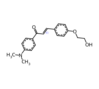 CN(C)c1ccc(C(=O)/C=C/c2ccc(OCCO)cc2)cc1